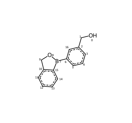 OCc1cccc(B2OCc3ccccc32)c1